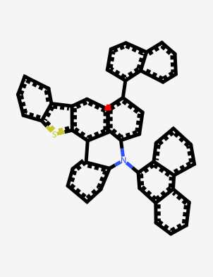 c1ccc(N(c2ccc(-c3cccc4ccccc34)cc2)c2cc3ccccc3c3ccccc23)c(-c2cccc3c2sc2ccccc23)c1